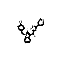 O=C(c1noc(-c2ccncc2)n1)c1c(Cl)n(Cc2ccc(Cl)cc2)c2ccccc12